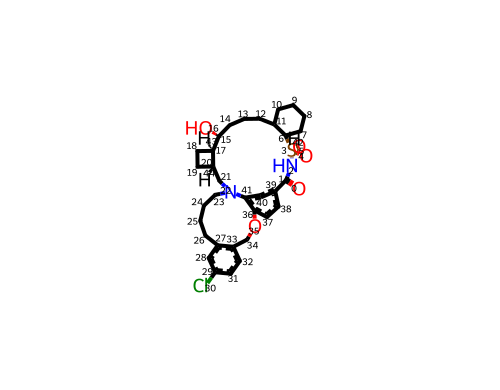 O=C1NS(=O)(=O)[C@@H]2CCCCC2CCC[C@H](O)[C@@H]2CC[C@H]2CN2CCCCc3cc(Cl)ccc3COc3ccc1cc32